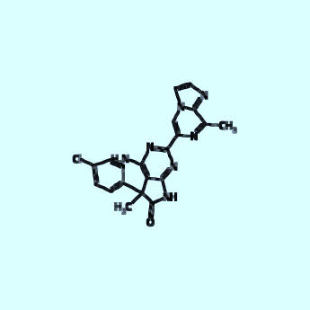 Cc1nc(-c2nc(N)c3c(n2)NC(=O)C3(C)c2ccc(Cl)cc2)cn2ccnc12